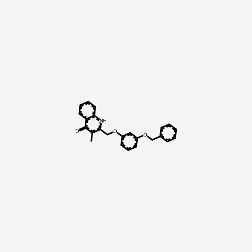 Cc1c(COc2cccc(OCc3ccccc3)c2)[nH]c2ccccc2c1=O